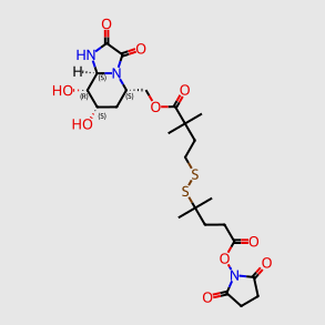 CC(C)(CCC(=O)ON1C(=O)CCC1=O)SSCCC(C)(C)C(=O)OC[C@@H]1C[C@H](O)[C@H](O)[C@H]2NC(=O)C(=O)N12